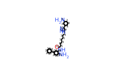 Nc1cccc(-c2cn(CCCCCCCC(=O)Nc3cc(-c4ccccc4)ccc3N)nn2)c1